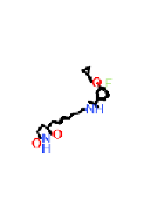 CC(C)(NCCCC/C=C/CC1CCC(=O)NC1=O)c1ccc(F)c(OCC2CC2)c1